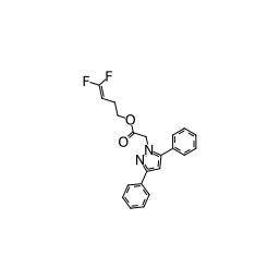 O=C(Cn1nc(-c2ccccc2)cc1-c1ccccc1)OCCC=C(F)F